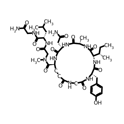 CC[C@H](C)[C@@H]1NC(=O)[C@H](Cc2ccc(O)cc2)NC(=O)CNC(=O)CC[C@@H](C(=O)N(C)CC(=O)N[C@@H](CC(C)C)C(=O)NCC(N)=O)NC(=O)[C@H](CC(N)=O)NC(=O)[C@H](C)NC1=O